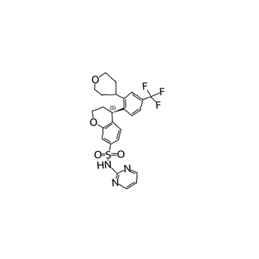 O=S(=O)(Nc1ncccn1)c1ccc2c(c1)OCC[C@H]2c1ccc(C(F)(F)F)cc1C1CCOCC1